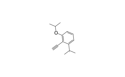 C#Cc1c(OC(C)C)cccc1[C](C)C